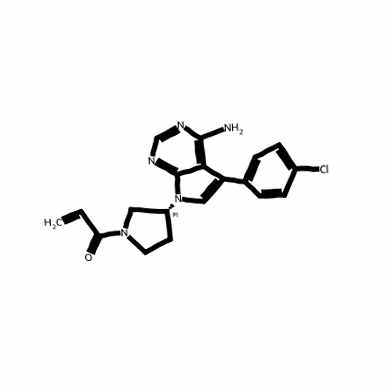 C=CC(=O)N1CC[C@@H](n2cc(-c3ccc(Cl)cc3)c3c(N)ncnc32)C1